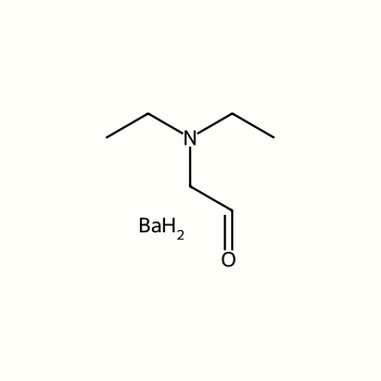 CCN(CC)CC=O.[BaH2]